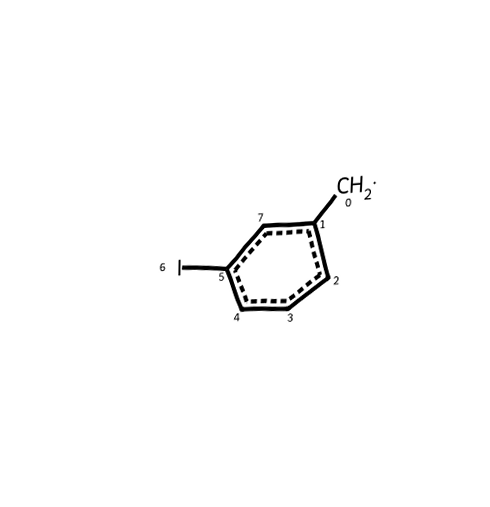 [CH2]c1cccc(I)c1